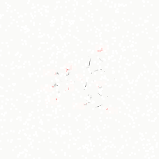 OC[C@H]1O[C@@H](Oc2cc3c(O)cc(O)cc3[o+]c2-c2ccc(O)cc2)[C@H](O)[C@@H](O)[C@@H]1O.[Cl-]